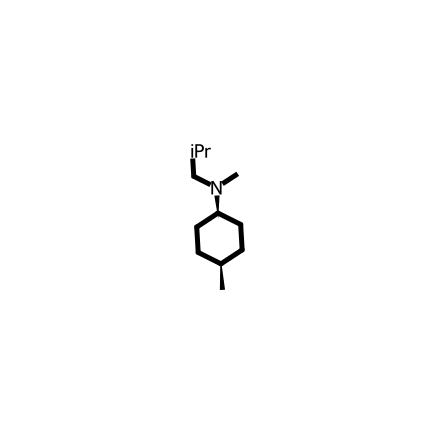 CC(C)CN(C)[C@H]1CC[C@@H](C)CC1